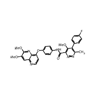 COc1cc2nccc(Oc3ccc(NC(=O)c4nnc(C)c(-c5ccc(F)cc5)c4OC)cc3)c2nc1OC